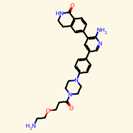 NCCOCCC(=O)N1CCN(c2ccc(-c3cnc(N)c(-c4ccc5c(c4)CCNC5=O)c3)cc2)CC1